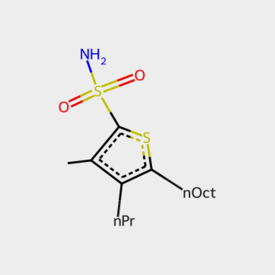 CCCCCCCCc1sc(S(N)(=O)=O)c(C)c1CCC